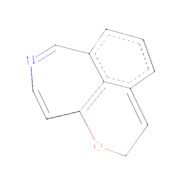 C1=CC2=c3c(cccc3=CCO2)C=N1